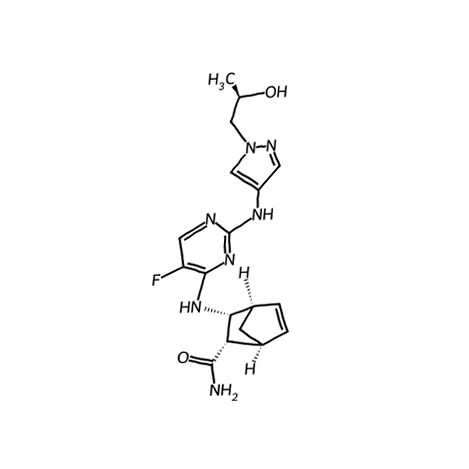 C[C@@H](O)Cn1cc(Nc2ncc(F)c(N[C@H]3[C@@H](C(N)=O)[C@@H]4C=C[C@H]3C4)n2)cn1